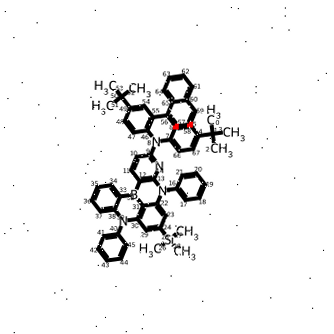 CC(C)(C)c1ccc(N(c2ccc3c(n2)N(c2ccccc2)c2cc([Si](C)(C)C)cc4c2B3c2ccccc2N4c2ccccc2)c2ccc(C(C)(C)C)cc2-c2cccc3ccccc23)cc1